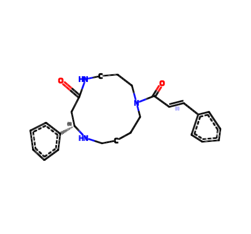 O=C1C[C@@H](c2ccccc2)NCCCCN(C(=O)/C=C/c2ccccc2)CCCN1